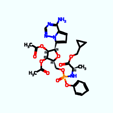 CC(=O)O[C@@H]1[C@H](OC(C)=O)[C@@H](COP(=O)(N[C@@H](C)C(=O)OCC2CC2)Oc2ccccc2)O[C@H]1c1ccc2c(N)ncnn12